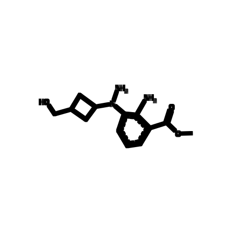 COC(=O)c1cccc(N(N)C2CC(CO)C2)c1N